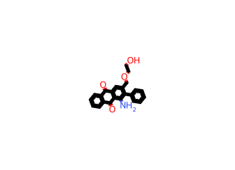 Nc1c2c(cc(COCCO)c1-c1ccccc1)C(=O)c1ccccc1C2=O